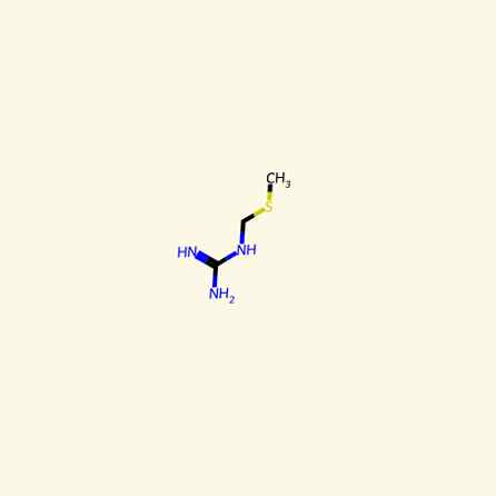 CSCNC(=N)N